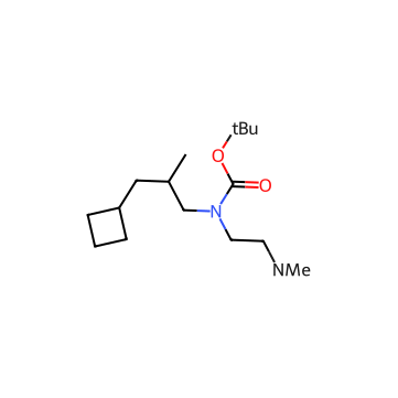 CNCCN(CC(C)CC1CCC1)C(=O)OC(C)(C)C